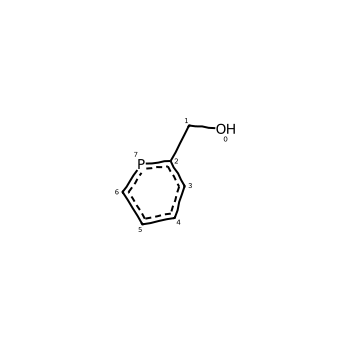 OCc1ccccp1